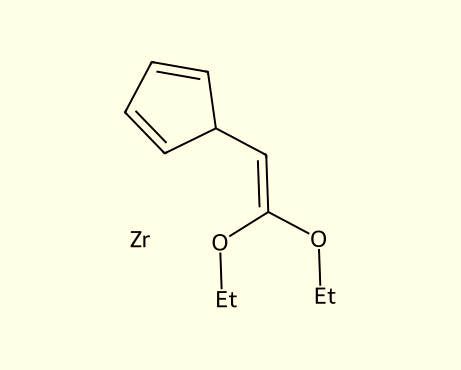 CCOC(=CC1C=CC=C1)OCC.[Zr]